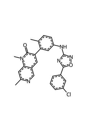 Cc1cc2c(cn1)cc(-c1cc(Nc3noc(-c4cccc(Cl)c4)n3)ccc1C)c(=O)n2C